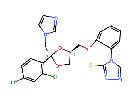 Sc1nncn1-c1ccccc1OC[C@H]1CO[C@@](Cn2ccnc2)(c2ccc(Cl)cc2Cl)O1